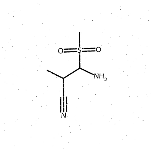 CC(C#N)C(N)S(C)(=O)=O